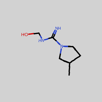 CC1CCN(C(=N)NCO)C1